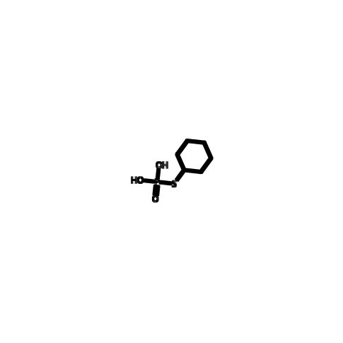 O=P(O)(O)SC1CCCCC1